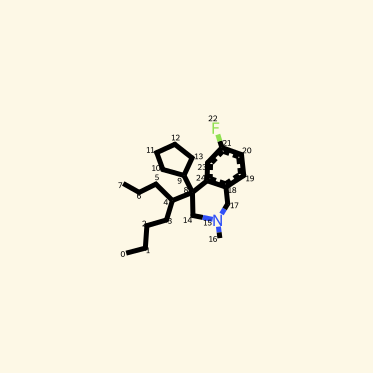 CCCCC(CCC)C1(C2CCCC2)CN(C)Cc2ccc(F)cc21